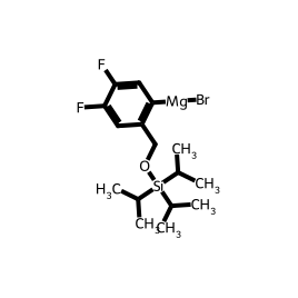 CC(C)[Si](OCc1cc(F)c(F)c[c]1[Mg][Br])(C(C)C)C(C)C